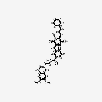 COc1cc2c(cc1OC)CN(CCNC(=O)c1cccc(/C=c3\[nH]c(=O)/c(=C/CCc4ccccc4)n(C)c3=O)c1)CC2